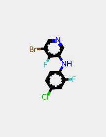 Fc1cc(Cl)ccc1Nc1cncc(Br)c1F